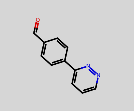 O=Cc1ccc(-c2cccnn2)cc1